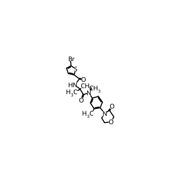 Cc1cc(N(C)C(=O)C(C)(C)NC(=O)c2ccc(Br)s2)ccc1N1CCOCC1=O